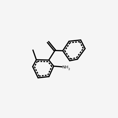 C=C(c1ccccc1)c1c(C)cccc1N